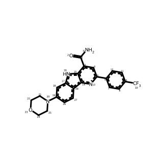 NC(=O)c1cc(-c2ccc(C(F)(F)F)cc2)nc2c1[nH]c1cc(N3CCOCC3)ccc12